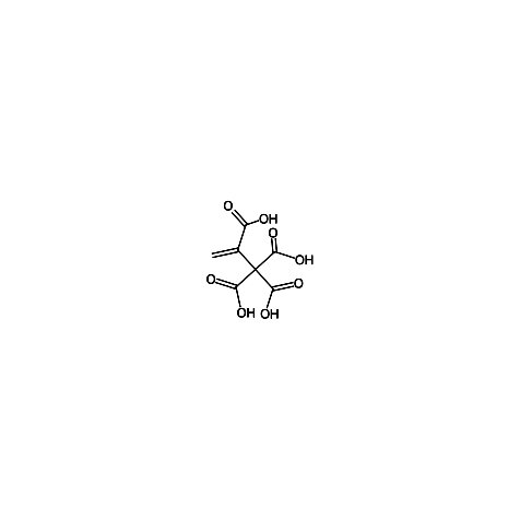 C=C(C(=O)O)C(C(=O)O)(C(=O)O)C(=O)O